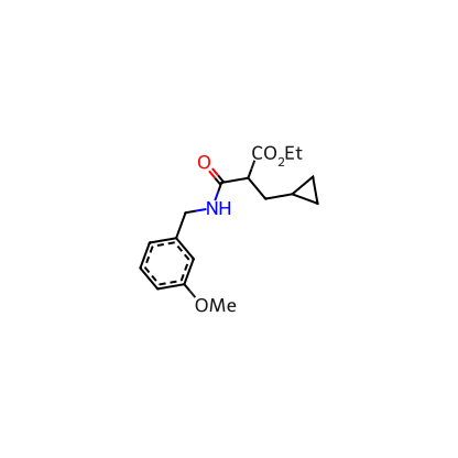 CCOC(=O)C(CC1CC1)C(=O)NCc1cccc(OC)c1